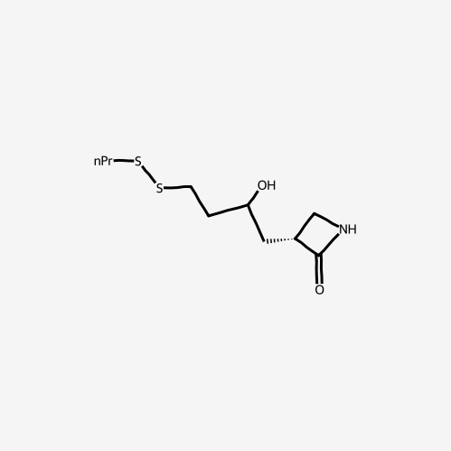 CCCSSCCC(O)C[C@@H]1CNC1=O